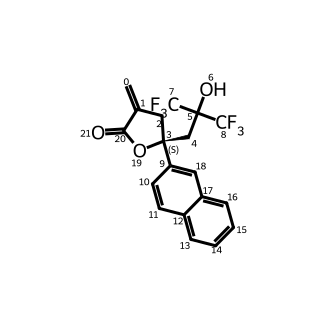 C=C1C[C@](CC(O)(C(F)(F)F)C(F)(F)F)(c2ccc3ccccc3c2)OC1=O